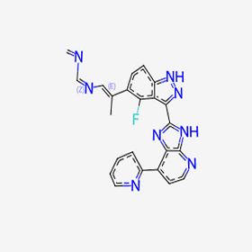 C=N/C=N\C=C(/C)c1ccc2[nH]nc(-c3nc4c(-c5ccccn5)ccnc4[nH]3)c2c1F